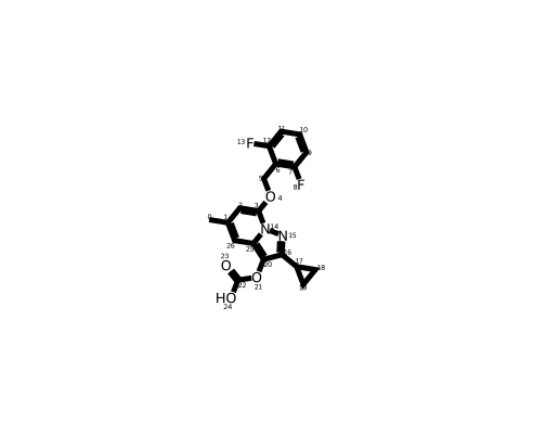 Cc1cc(OCc2c(F)cccc2F)n2nc(C3CC3)c(OC(=O)O)c2c1